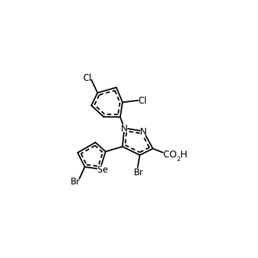 O=C(O)c1nn(-c2ccc(Cl)cc2Cl)c(-c2ccc(Br)[se]2)c1Br